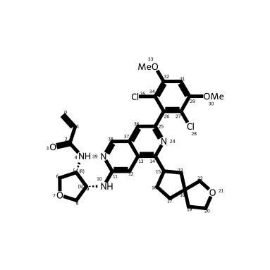 C=CC(=O)N[C@H]1COC[C@H]1Nc1cc2c(C3CCC4(CCOC4)C3)nc(-c3c(Cl)c(OC)cc(OC)c3Cl)cc2cn1